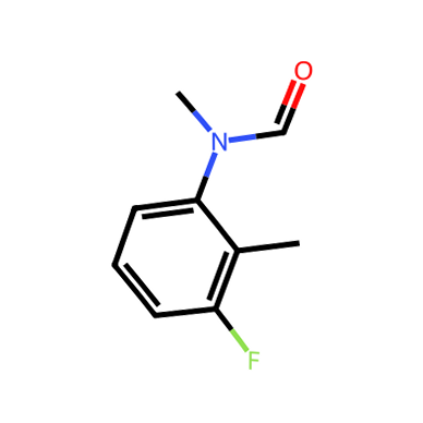 Cc1c(F)cccc1N(C)C=O